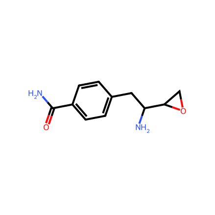 NC(=O)c1ccc(CC(N)C2CO2)cc1